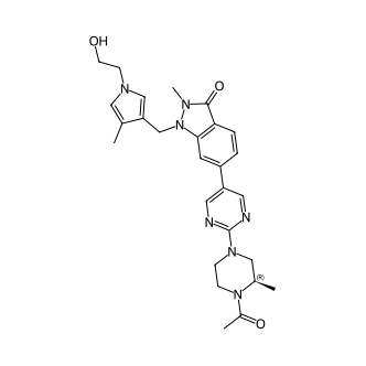 CC(=O)N1CCN(c2ncc(-c3ccc4c(=O)n(C)n(Cc5cn(CCO)cc5C)c4c3)cn2)C[C@H]1C